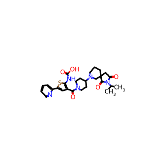 CC(C)N1C(=O)CC2(CCCN(C3CCN(C(=O)c4cc(-c5ccccn5)sc4NC(=O)O)CC3)C2)C1=O